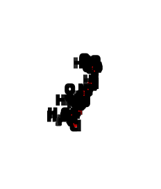 CC1(C)CCC(CN2CCN(c3ccc(C(=O)NS(=O)(=O)c4ccc(NCC5CCN(CCCCCCc6cccc7c6C(=O)N(C6CCC(=O)NC6=O)C7=O)CC5)c([N+](=O)[O-])c4)c(Oc4cnc5[nH]ccc5c4)c3)CC2)=C(c2ccc(Cl)cc2)C1